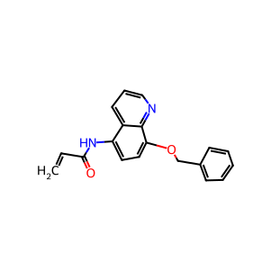 C=CC(=O)Nc1ccc(OCc2ccccc2)c2ncccc12